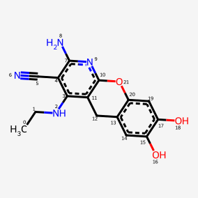 CCNc1c(C#N)c(N)nc2c1Cc1cc(O)c(O)cc1O2